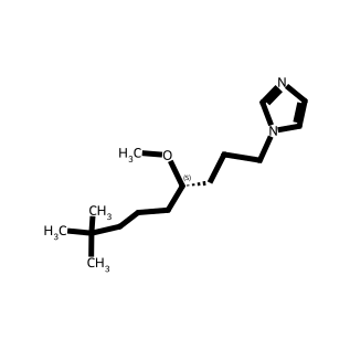 CO[C@H](CCCn1ccnc1)CCCC(C)(C)C